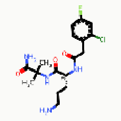 CC(C)(NC(=O)[C@@H](CCCN)NC(=O)Cc1ccc(F)cc1Cl)C(N)=O